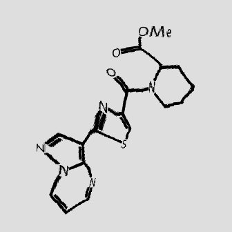 COC(=O)C1CCCCN1C(=O)c1csc(-c2cnn3cccnc23)n1